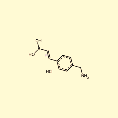 Cl.NCc1ccc(/C=C/B(O)O)cc1